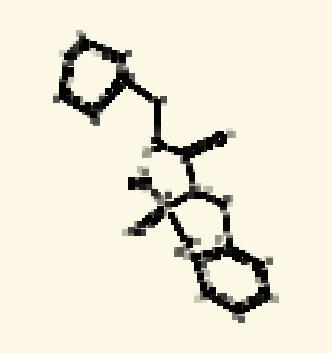 O=C(OCc1ccccc1)N(Cc1ccccc1)P(=O)(O)O